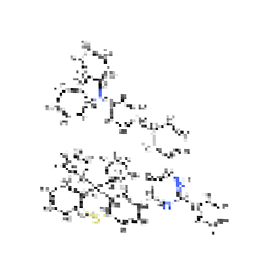 c1ccc(-c2nc(-c3cccc(-c4ccc(-n5c6ccccc6c6ccccc65)cc4)c3)cc(-c3ccc4c(c3)C3(c5ccccc5S4)c4ccccc4-c4ccccc43)n2)cc1